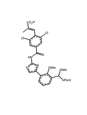 CCCCCC(OC)c1cccc(-c2csc(NC(=O)c3cc(Cl)c(C=C(C)C(=O)O)c(Cl)c3)n2)c1OC